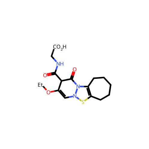 CCOC1=CN2SC3=C(CCCCC3)N2C(=O)C1C(=O)NCC(=O)O